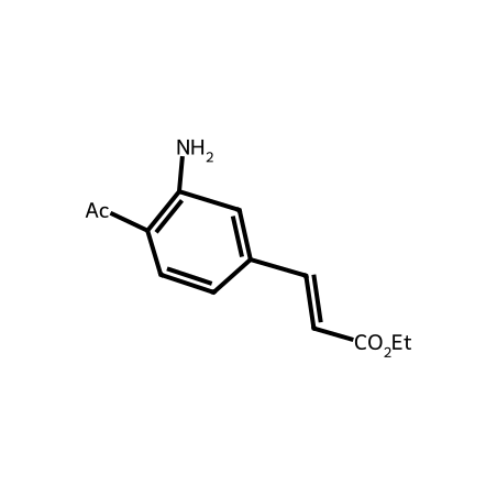 CCOC(=O)/C=C/c1ccc(C(C)=O)c(N)c1